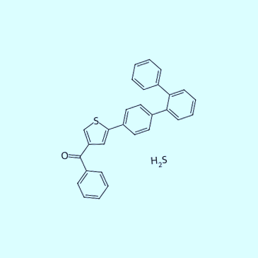 O=C(c1ccccc1)c1csc(-c2ccc(-c3ccccc3-c3ccccc3)cc2)c1.S